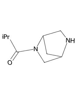 CC(C)C(=O)N1CC2CC1CN2